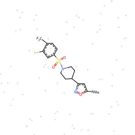 CNc1cc(C2CCN(S(=O)(=O)c3ccc(C(F)(F)F)c(F)c3)CC2)no1